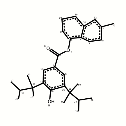 Cc1ccc2c(OC(=O)c3cc(C(C)(C)C(C)C)c(O)c(C(C)(C)C(C)C)c3)cccc2c1